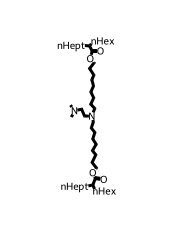 CCCCCCCC(CCCCCC)C(=O)OCCCCCCCCCN(CCCCCCCCCOC(=O)C(CCCCCC)CCCCCCC)CCN(C)C